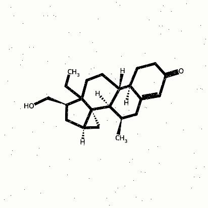 CCC12CC[C@H]3[C@@H]([C@H](C)CC4=CC(=O)CC[C@@H]43)[C@]13C[C@H]3C[C@H]2CO